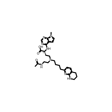 CC(=O)NCCN(CCCCc1ccc2c(n1)NCCC2)CC[C@H](Nc1ncnc2c1ccn2C)C(=O)O